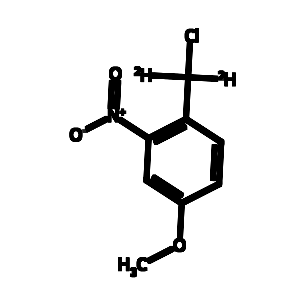 [2H]C([2H])(Cl)c1ccc(OC)cc1[N+](=O)[O-]